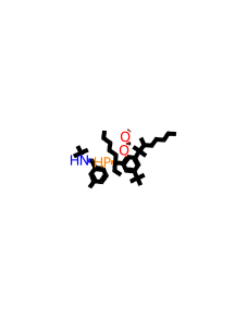 CCCCCC(C)C(C)(C)c1cc(C(C)(C)C)cc(C(CC)(CCCCC)Pc2ccc(C)cc2CNC(C)(C)C)c1OCOC